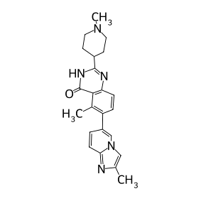 Cc1cn2cc(-c3ccc4nc(C5CCN(C)CC5)[nH]c(=O)c4c3C)ccc2n1